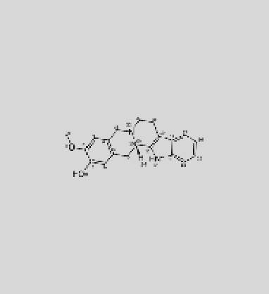 COc1cc2c(cc1O)C[C@H]1c3[nH]c4ccccc4c3CCN1C2